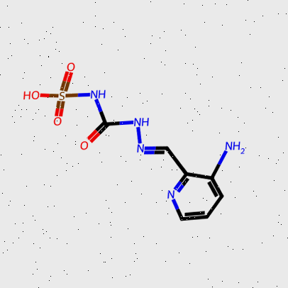 Nc1cccnc1C=NNC(=O)NS(=O)(=O)O